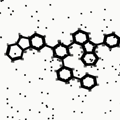 C1=CC2Oc3ccc(-c4nc(-c5cccc(-c6ccccc6)c5)nc(-c5cccc6c5c5ccccc5n6-c5ccccc5)n4)cc3C2C=C1